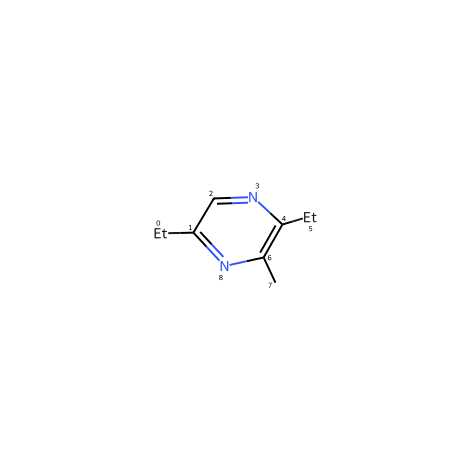 CCc1cnc(CC)c(C)n1